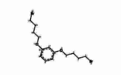 BrCCCCOc1cccc(OCCCCBr)c1